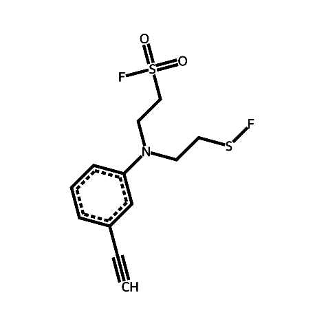 C#Cc1cccc(N(CCSF)CCS(=O)(=O)F)c1